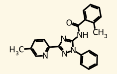 Cc1ccc(-c2nc(NC(=O)c3ccccc3C)n(-c3ccccc3)n2)nc1